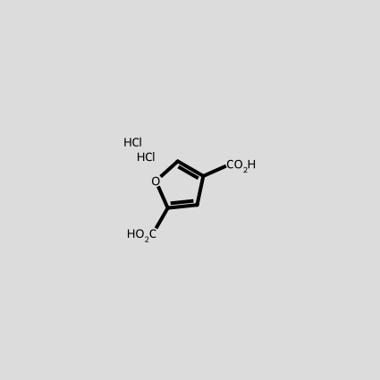 Cl.Cl.O=C(O)c1coc(C(=O)O)c1